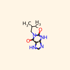 CC(C)Cn1c(=O)[nH]c2nc[nH]c2c1=O